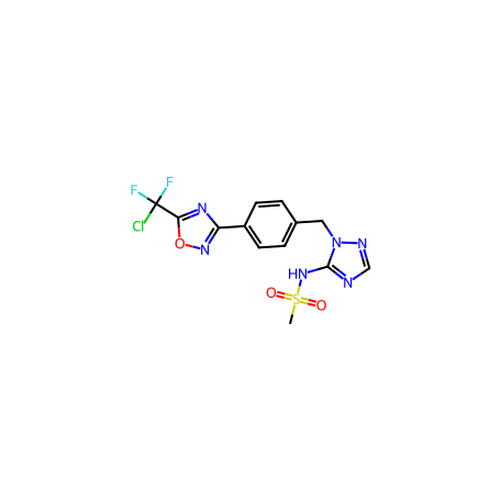 CS(=O)(=O)Nc1ncnn1Cc1ccc(-c2noc(C(F)(F)Cl)n2)cc1